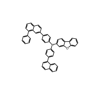 c1ccc(-c2cccc3ccc(-c4ccc(N(c5ccc(-c6cccc7ccccc67)cc5)c5ccc6c(c5)oc5ccccc56)cc4)cc23)cc1